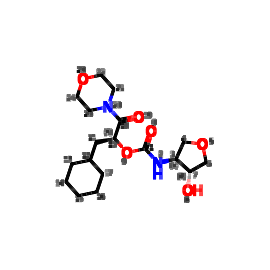 O=C(N[C@H]1COC[C@@H]1O)O[C@@H](CC1CCCCC1)C(=O)N1CCOCC1